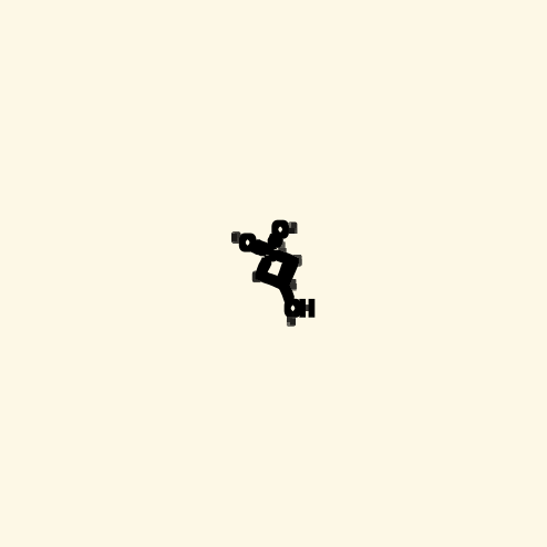 O=S1(=O)C=C(O)C1